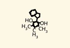 Cc1c(C)c(O)c(C2CCc3ccccc32)c(O)c1C